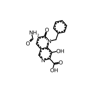 NC=O.O=C(O)c1ncc2ccc(=O)n(Cc3ccccc3)c2c1O